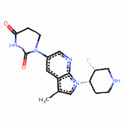 Cc1cn([C@H]2CCNC[C@H]2F)c2ncc(N3CCC(=O)NC3=O)cc12